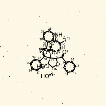 Nc1nc(=O)n([C@]2(C(=O)c3ccccc3)O[C@H](CO)[C@@H](O)[C@]2(OC(=O)c2ccccc2)C(=O)c2ccccc2)cc1I